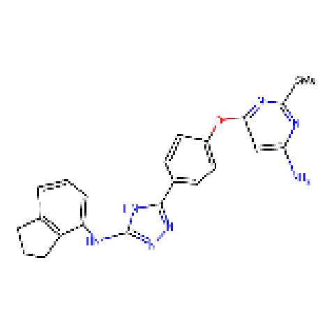 CSc1nc(N)cc(Oc2ccc(-c3nnc(Nc4cccc5c4CCC5)[nH]3)cc2)n1